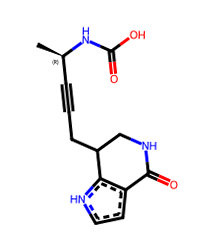 C[C@H](C#CCC1CNC(=O)c2cc[nH]c21)NC(=O)O